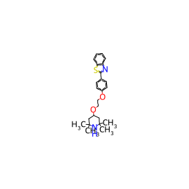 CC1(C)CC(OCCOc2ccc(-c3nc4ccccc4s3)cc2)CC(C)(C)N1